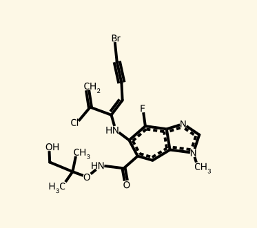 C=C(Cl)/C(=C\C#CBr)Nc1c(C(=O)NOC(C)(C)CO)cc2c(ncn2C)c1F